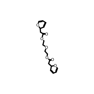 O=C(CC1C=CC=CO1)OCCOCCOC(=O)CC1C=CC=CO1